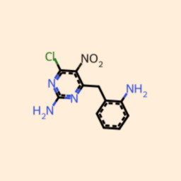 Nc1nc(Cl)c([N+](=O)[O-])c(Cc2ccccc2N)n1